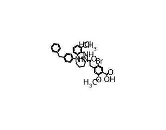 COc1cc(CC(=O)NNc2c(C)cccc2[N+]2(c3ccc(Cc4ccccc4)cc3)CCCCC2)c(Br)cc1C(=O)O.Cl